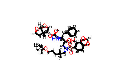 CC(C)(CCCO[Si](C)(C)C(C)(C)C)CN(C[C@@H](O)[C@H](Cc1ccccc1)NC(=O)O[C@H]1CO[C@H]2OCC[C@H]21)S(=O)(=O)c1ccc2c(c1)OCO2